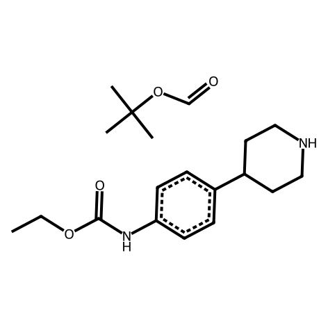 CC(C)(C)OC=O.CCOC(=O)Nc1ccc(C2CCNCC2)cc1